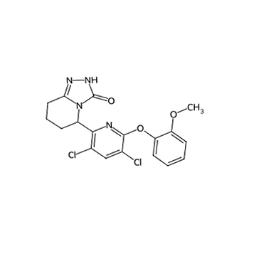 COc1ccccc1Oc1nc(C2CCCc3n[nH]c(=O)n32)c(Cl)cc1Cl